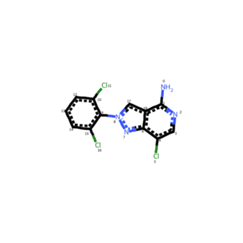 Nc1ncc(Cl)c2nn(-c3c(Cl)cccc3Cl)cc12